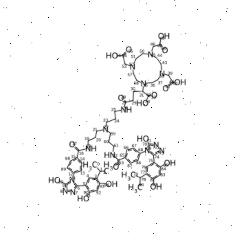 CC(C)c1cc(-c2nnc(O)n2-c2ccc(C(=O)NCCCN(CCCNC(=O)CC[C@H](C(=O)O)N3CCN(CC(=O)O)CCN(CC(=O)O)CCN(CC(=O)O)CC3)CCCNC(=O)c3ccc(-n4c(O)nnc4-c4cc(C(C)C)c(O)cc4O)cc3)cc2)c(O)cc1O